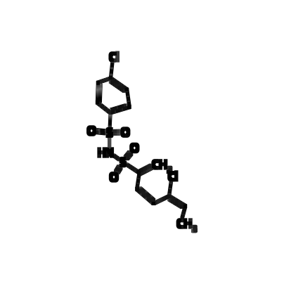 C=C(/C=C\C(Cl)=C/C)S(=O)(=O)NS(=O)(=O)c1ccc(Cl)cc1